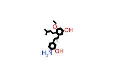 CCOc1cc(O)cc(/C=C/c2ccc(N)c(O)c2)c1CC=C(C)C